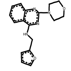 c1coc(CNc2nc(N3CCOCC3)nc3ccccc23)c1